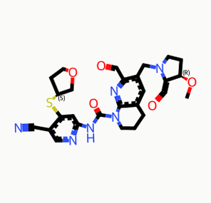 CO[C@@H]1CCN(Cc2cc3c(nc2C=O)N(C(=O)Nc2cc(S[C@H]4CCOC4)c(C#N)cn2)CCC3)C1=C=O